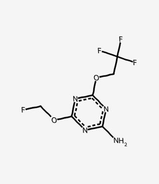 Nc1nc(OCF)nc(OCC(F)(F)F)n1